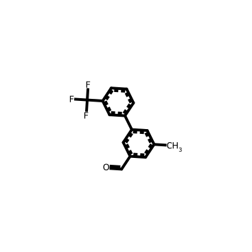 Cc1cc(C=O)cc(-c2cccc(C(F)(F)F)c2)c1